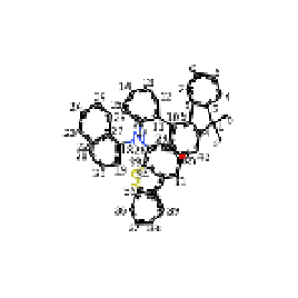 CC1(C)c2ccccc2-c2c(-c3ccccc3N(c3cccc4ccccc34)c3cccc4c3sc3ccccc34)cccc21